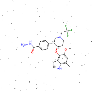 COc1cc(C)c2[nH]ccc2c1O[C@@H]1CCN(CC(F)(F)F)C[C@H]1c1ccc(C(=O)NN)cc1